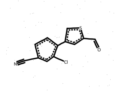 N#Cc1ccc(-c2csc(C=O)c2)c(Cl)c1